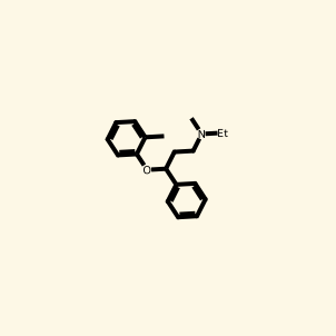 CCN(C)CCC(Oc1ccccc1C)c1ccccc1